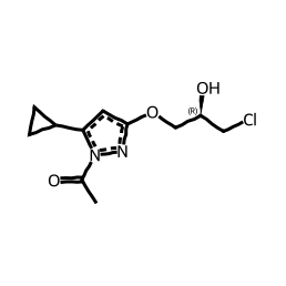 CC(=O)n1nc(OC[C@@H](O)CCl)cc1C1CC1